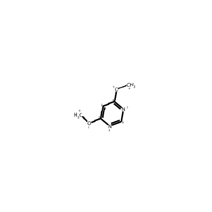 COc1[c]c(OC)ncn1